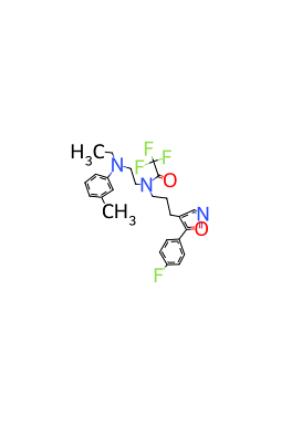 CCN(CCN(CCCc1cnoc1-c1ccc(F)cc1)C(=O)C(F)(F)F)c1cccc(C)c1